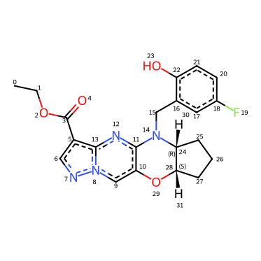 CCOC(=O)c1cnn2cc3c(nc12)N(Cc1cc(F)ccc1O)[C@@H]1CCC[C@@H]1O3